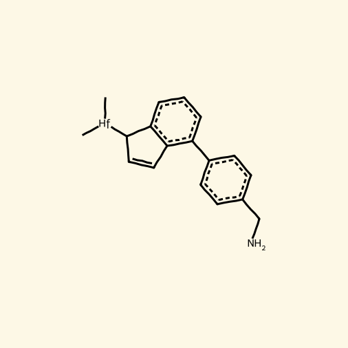 [CH3][Hf]([CH3])[CH]1C=Cc2c(-c3ccc(CN)cc3)cccc21